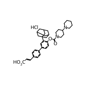 Cl.O=C(O)C=Cc1ccc(-c2ccc(OC(=O)N3CCC(N4CCCCC4)CC3)c(C34CC5CC(CC(C5)C3)C4)c2)cc1